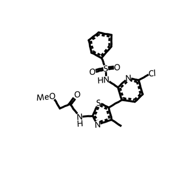 COCC(=O)Nc1nc(C)c(-c2ccc(Cl)nc2NS(=O)(=O)c2ccccc2)s1